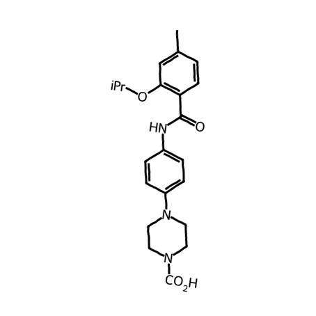 Cc1ccc(C(=O)Nc2ccc(N3CCN(C(=O)O)CC3)cc2)c(OC(C)C)c1